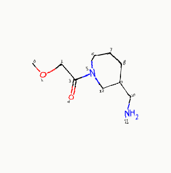 COCC(=O)N1CCCC(CN)C1